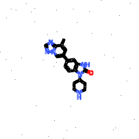 Cc1cc(-c2ccc3c(c2)[nH]c(=O)n3C2CCNCC2)cn2ncnc12